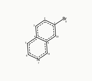 Brc1ccc2ccn[c]c2c1